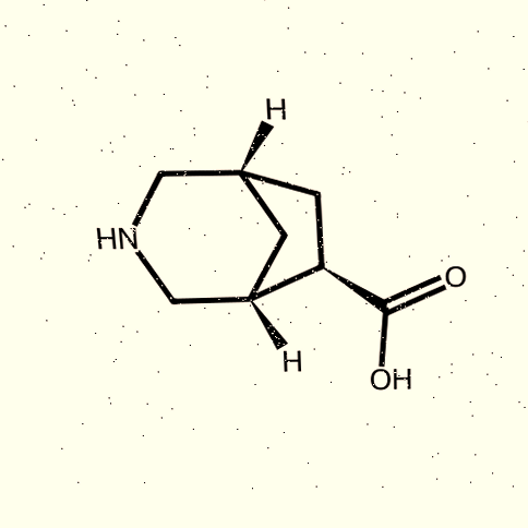 O=C(O)[C@@H]1C[C@H]2CNC[C@@H]1C2